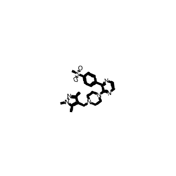 Cc1nn(C)c(C)c1CN1CCN(c2nccnc2-c2ccc(S(C)(=O)=O)cc2)CC1